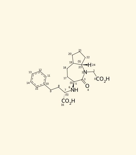 O=C(O)CN1C(=O)[C@@H](N[C@@H](CCc2ccccc2)C(=O)O)CCC2CCC[C@@H]21